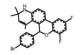 CC1=CC(C)(C)Nc2ccc3c(c21)C(c1ccc(Br)cc1)Oc1c(F)cc(F)cc1-3